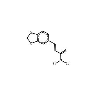 CCN(CC)C(=O)C=Cc1ccc2c(c1)OCO2